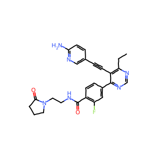 CCc1ncnc(-c2ccc(C(=O)NCCN3CCCC3=O)c(F)c2)c1C#Cc1ccc(N)nc1